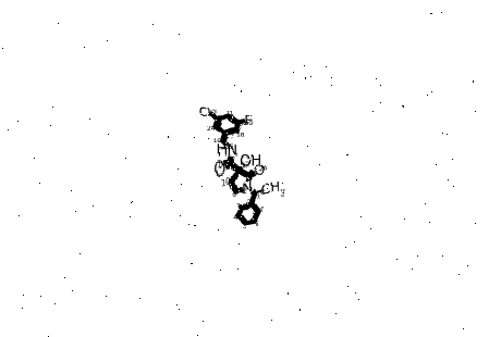 C[C@@H](c1ccccc1)N1CC[C@](O)(C(=O)NCc2cc(F)cc(Cl)c2)C1=O